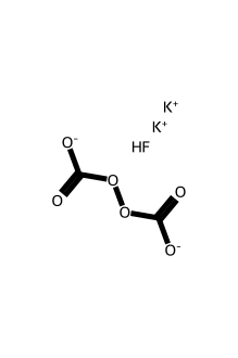 F.O=C([O-])OOC(=O)[O-].[K+].[K+]